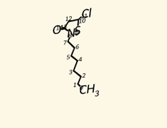 CCCCCCCCN1SC(Cl)CC1=O